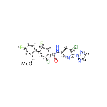 COCc1cc(F)ccc1-c1cc(Cl)c(C(=O)Nc2cnc(-n3nccn3)c(Cl)c2)cc1F